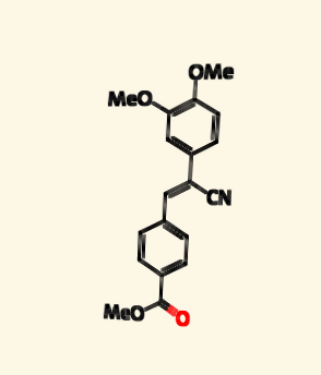 COC(=O)c1ccc(/C=C(\C#N)c2ccc(OC)c(OC)c2)cc1